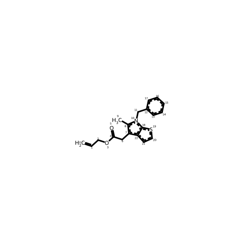 C=CCOC(=O)Cc1c(C)n(Cc2ccccc2)c2sccc12